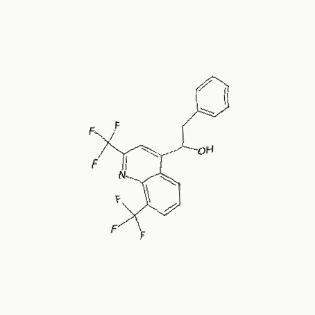 OC(Cc1ccccc1)c1cc(C(F)(F)F)nc2c(C(F)(F)F)cccc12